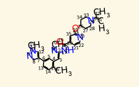 C=N/C(=C\c1cc(-c2cnn(C)c2)ccc1C)NC(=O)c1ccnc(OC2CCN(C(C)C)CC2)c1